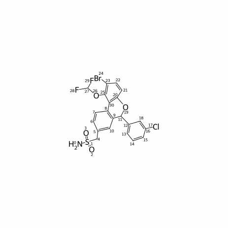 NS(=O)(=O)Cc1ccc2c(c1)C(c1cccc(Cl)c1)Oc1ccc(Br)c(OC(F)F)c1-2